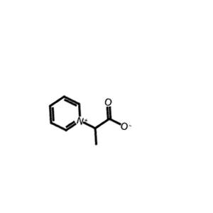 CC(C(=O)[O-])[n+]1ccccc1